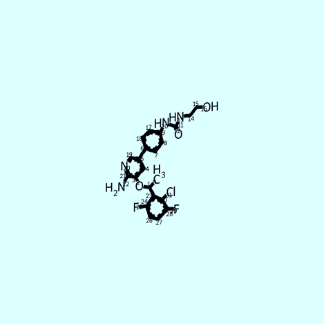 CC(Oc1cc(-c2ccc(NC(=O)NCCO)cc2)cnc1N)c1c(F)ccc(F)c1Cl